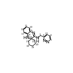 c1cnnc(CNC2=Nc3ccccc3NC23CCCCC3)c1